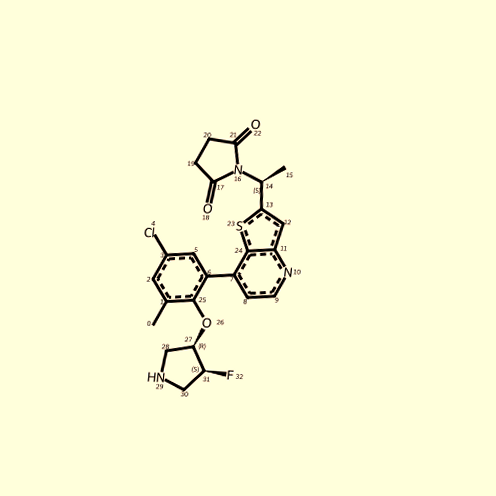 Cc1cc(Cl)cc(-c2ccnc3cc([C@H](C)N4C(=O)CCC4=O)sc23)c1O[C@@H]1CNC[C@@H]1F